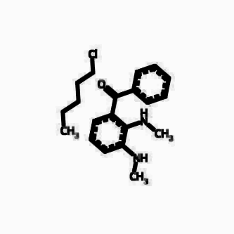 CCCCCCl.CNc1cccc(C(=O)c2ccccc2)c1NC